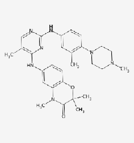 Cc1cc(Nc2ncc(C)c(Nc3ccc4c(c3)N(C)C(=O)C(C)(C)O4)n2)ccc1N1CCN(C)CC1